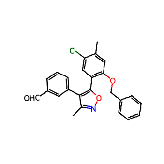 Cc1cc(OCc2ccccc2)c(-c2onc(C)c2-c2cccc(C=O)c2)cc1Cl